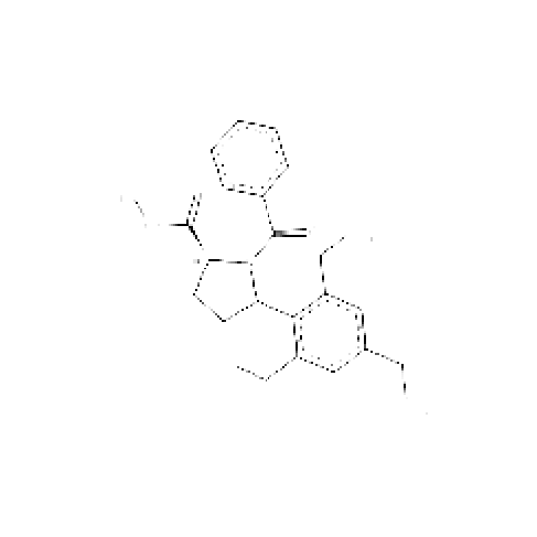 CCc1cc(CC)c(C2CC[C@@H](C(=O)OC)N2C(=O)c2ccccc2)c(CC)c1